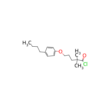 CCCCc1ccc(OCCCC(C)(C)C(=O)Cl)cc1